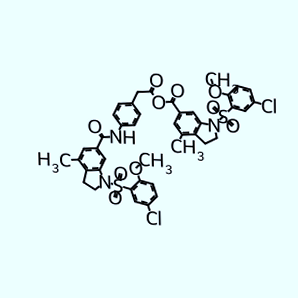 COc1ccc(Cl)cc1S(=O)(=O)N1CCc2c(C)cc(C(=O)Nc3ccc(CC(=O)OC(=O)c4cc(C)c5c(c4)N(S(=O)(=O)c4cc(Cl)ccc4OC)CC5)cc3)cc21